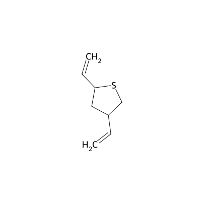 C=CC1CSC(C=C)C1